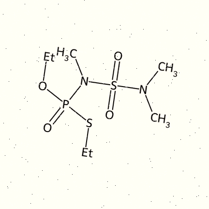 CCOP(=O)(SCC)N(C)S(=O)(=O)N(C)C